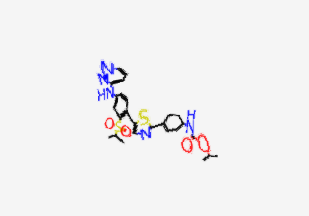 CC(C)OC(=O)NC1CCC(c2ncc(-c3ccc(Nc4cccnn4)cc3S(=O)(=O)C(C)C)s2)CC1